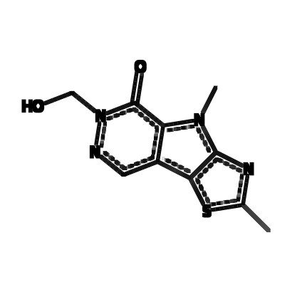 Cc1nc2c(s1)c1cnn(CO)c(=O)c1n2C